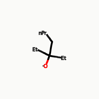 CCCCC([O])(CC)CC